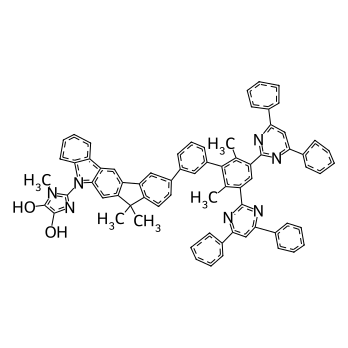 Cc1c(-c2nc(-c3ccccc3)cc(-c3ccccc3)n2)cc(-c2nc(-c3ccccc3)cc(-c3ccccc3)n2)c(C)c1-c1cccc(-c2ccc3c(c2)-c2cc4c5ccccc5n(-c5nc(O)c(O)n5C)c4cc2C3(C)C)c1